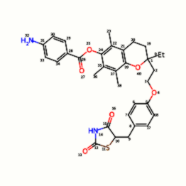 CCC1(CCOc2ccc(CC3SC(=O)NC3=O)cc2)CCc2c(C)c(OC(=O)c3ccc(N)cc3)c(C)c(C)c2O1